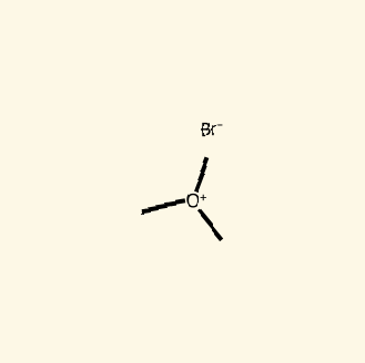 C[O+](C)C.[Br-]